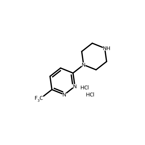 Cl.Cl.FC(F)(F)c1ccc(N2CCNCC2)nn1